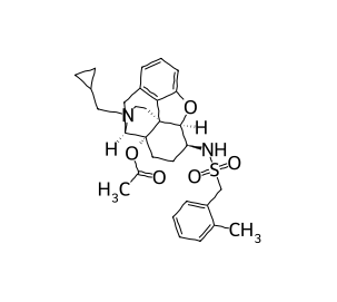 CC(=O)O[C@@]12CC[C@H](NS(=O)(=O)Cc3ccccc3C)[C@@H]3Oc4cccc5c4[C@@]31CCN(CC1CC1)[C@@H]2C5